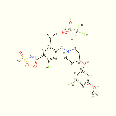 CS(=O)(=O)NC(=O)c1cc(C2CC2)c(CN2CCC(Oc3cc(Cl)cc(OC(F)(F)F)c3)CC2)cc1F.O=C(O)C(F)(F)F